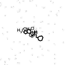 CC1(O)CCc2c1cc(Cl)c(NC(=O)NCC1CCCCCC1)c2Cl